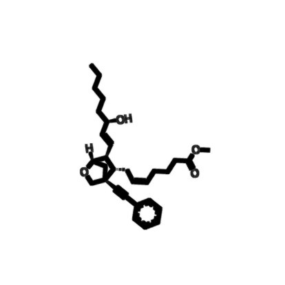 CCCCC[C@@H](O)/C=C/[C@@H]1[C@@H]2C[C@@](C#Cc3ccccc3)(CO2)[C@H]1C/C=C\CCCC(=O)OC